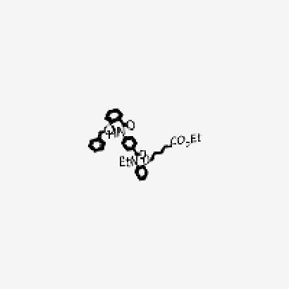 CCOC(=O)CCCCCOc1ccccc1N(CC)C(=O)c1ccc(NC(=O)c2ccccc2OCc2ccccc2)cc1